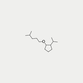 CC(C)CCCOC1CCCC1C(C)C